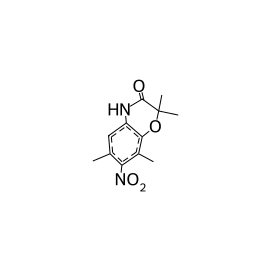 Cc1cc2c(c(C)c1[N+](=O)[O-])OC(C)(C)C(=O)N2